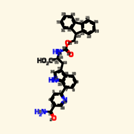 NC(=O)c1ccc(-c2cccc3c(C[C@H](NC(=O)OCC4c5ccccc5-c5ccccc54)C(=O)O)c[nH]c23)nc1